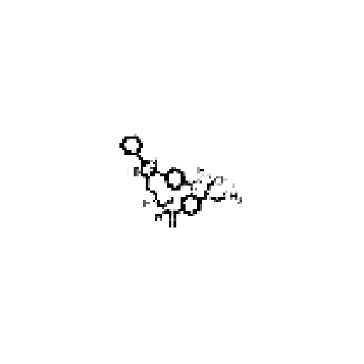 CCN(CC)c1ccc(NS(=O)(=O)NCCc2[nH]c(-c3ccccc3)nc2-c2ccc(OC)cc2)cc1